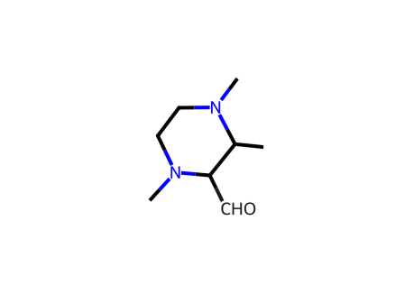 CC1C(C=O)N(C)CCN1C